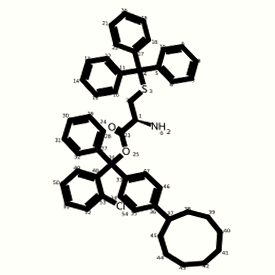 N[C@H](CSC(c1ccccc1)(c1ccccc1)c1ccccc1)C(=O)OC(c1ccccc1)(c1ccc(C2CCCCCCCC2)cc1)c1ccccc1Cl